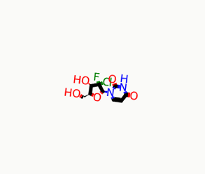 O=c1ccn([C@H]2O[C@H](CO)[C@H](O)C2(F)Cl)c(=O)[nH]1